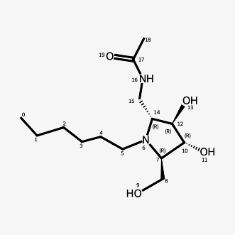 CCCCCCN1[C@H](CO)[C@@H](O)[C@H](O)[C@H]1CNC(C)=O